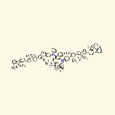 Cc1cc(-c2ccc3c(c2)C(C)(C)c2cc(-c4ccc5c(c4)C(C)(C)c4ccccc4-5)ccc2-3)cc(C)c1-c1ccc(N(c2ccccc2)c2c3ccccc3c(N(C3=CC=CCC3)c3ccc(-c4c(C)cc(C5C=C6C(=CC5)c5ccc(-c7ccc8c(c7)C(C)(C)c7ccccc7-8)cc5C6(C)C)cc4C)cc3)c3ccc(C(C)(C)C)cc23)cc1